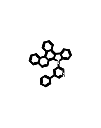 c1ccc(-c2cncc(-n3c4ccccc4c4c5ccccc5c5c6ccccc6ccc5c43)c2)cc1